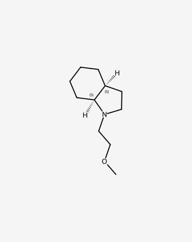 COCCN1CC[C@@H]2CCCC[C@@H]21